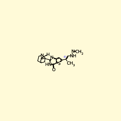 C=NN/C=C(\C)c1cc2nc([C@@H]3CC4CCN3CC4)[nH]c(=O)c2s1